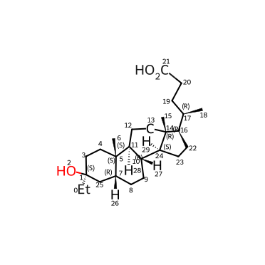 CC[C@]1(O)CC[C@@]2(C)[C@H](CC[C@@H]3[C@@H]2CC[C@]2(C)[C@@H]([C@H](C)CCC(=O)O)CC[C@@H]32)C1